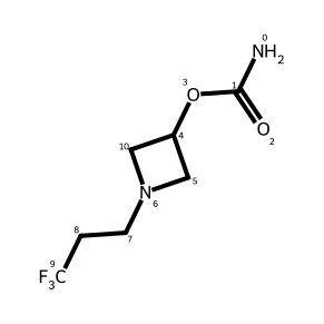 NC(=O)OC1CN(CCC(F)(F)F)C1